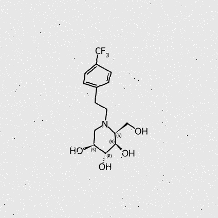 OC[C@H]1[C@@H](O)[C@H](O)[C@@H](O)CN1CCc1ccc(C(F)(F)F)cc1